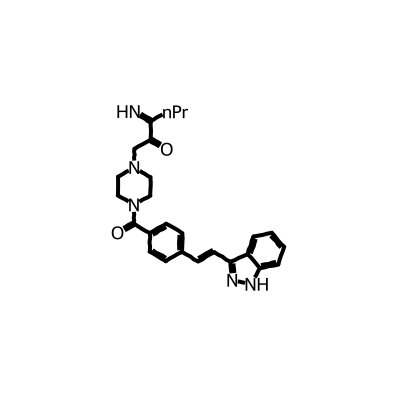 CCCC(=N)C(=O)CN1CCN(C(=O)c2ccc(C=Cc3n[nH]c4ccccc34)cc2)CC1